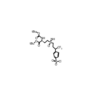 CC(C)(C)OC(=O)N[C@@H](CCS(=N)(=O)CCC(c1ccc(S(=O)(=O)Cl)cc1)C(F)(F)F)C(=O)OC(C)(C)C